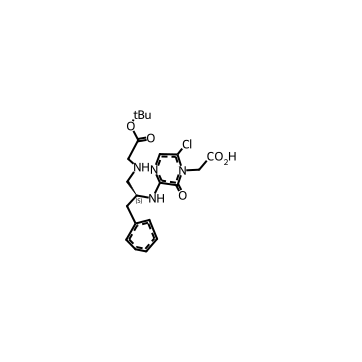 CC(C)(C)OC(=O)CNC[C@H](Cc1ccccc1)Nc1ncc(Cl)n(CC(=O)O)c1=O